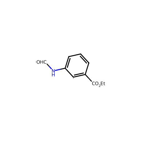 CCOC(=O)c1[c]c(N[C]=O)ccc1